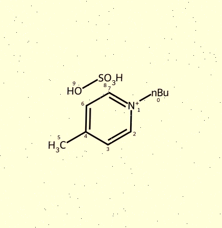 CCCC[n+]1ccc(C)cc1.O=S(=O)(O)O